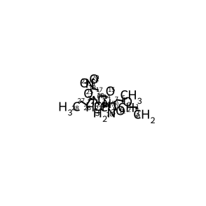 C=CCOC(C)(C)C[C@@H](C(N)=O)N(C)C(=O)[C@@H](CC[N+](=O)[O-])N(C)C(=O)CCC